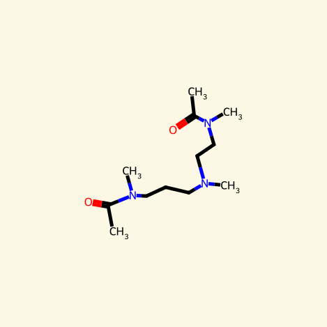 CC(=O)N(C)CCCN(C)CCN(C)C(C)=O